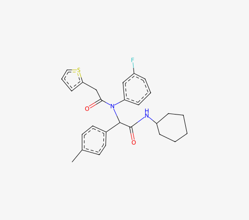 Cc1ccc(C(C(=O)NC2CCCCC2)N(C(=O)Cc2cccs2)c2cccc(F)c2)cc1